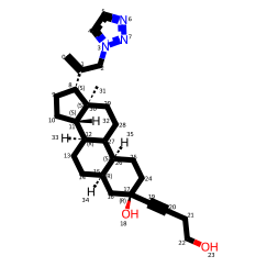 C=C(Cn1ccnn1)[C@H]1CC[C@H]2[C@@H]3CC[C@@H]4C[C@@](O)(C#CCCO)CC[C@@H]4C3CC[C@]12C